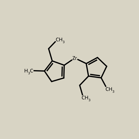 CCC1=C(C)CC=[C]1[Zr][C]1=CCC(C)=C1CC